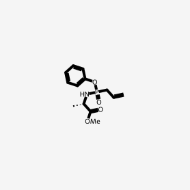 C=CCP(=O)(N[C@@H](C)C(=O)OC)Oc1ccccc1